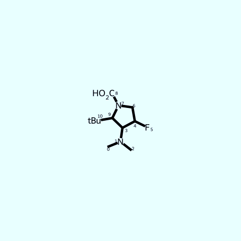 CN(C)C1C(F)CN(C(=O)O)C1C(C)(C)C